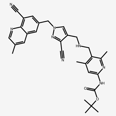 Cc1cnc2c(C#N)cc(Cn3cc(CNCc4c(C)cc(NC(=O)OC(C)(C)C)nc4C)c(C#N)n3)cc2c1